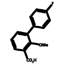 COc1c(C(=O)O)cccc1-c1ccc(F)cc1